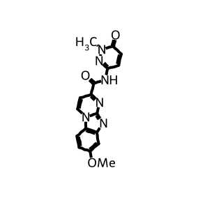 COc1ccc2c(c1)nc1nc(C(=O)Nc3ccc(=O)n(C)n3)ccn12